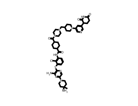 CC1(N)CCN(c2cnc(Sc3cccc(NC(=O)C4CCC(C(=O)N5CCN(CC6CCN(c7cncc(C8CCC(=O)NC8=O)c7)CC6)CC5)CC4)c3Cl)c(N)n2)CC1